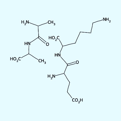 CC(N)C(=O)NC(C)C(=O)O.NCCCCC(NC(=O)C(N)CCC(=O)O)C(=O)O